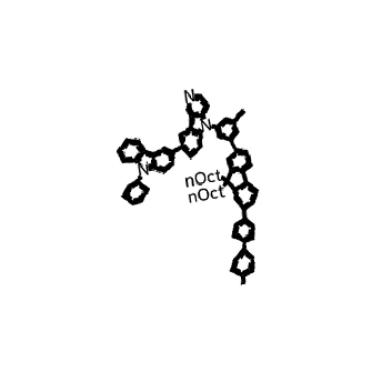 CCCCCCCCC1(CCCCCCCC)c2cc(-c3ccc(-c4ccc(C)cc4)cc3)ccc2-c2ccc(-c3cc(C)cc(-n4c5ccncc5c5cc(-c6ccc7c(c6)c6ccccc6n7-c6ccccc6)ccc54)c3)cc21